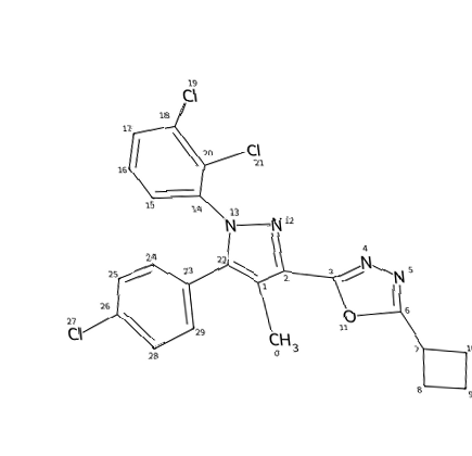 Cc1c(-c2nnc(C3CCC3)o2)nn(-c2cccc(Cl)c2Cl)c1-c1ccc(Cl)cc1